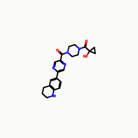 O=C(c1cnc(-c2ccc3c(c2)CCCN3)cn1)N1CCN(C(=O)C2(O)CC2)CC1